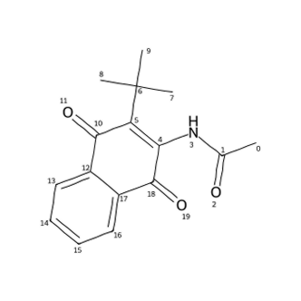 CC(=O)NC1=C(C(C)(C)C)C(=O)c2ccccc2C1=O